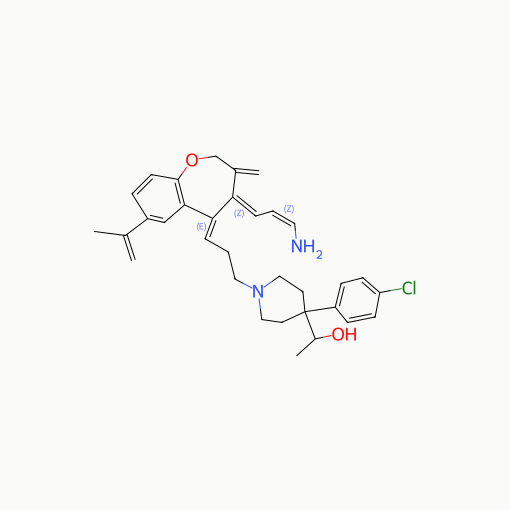 C=C1COc2ccc(C(=C)C)cc2C(=C/CCN2CCC(c3ccc(Cl)cc3)(C(C)O)CC2)/C1=C/C=C\N